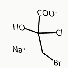 O=C([O-])C(O)(Cl)CBr.[Na+]